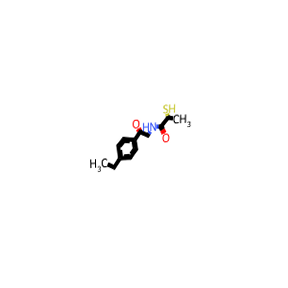 CCc1ccc(C(=O)CNC(=O)C(C)S)cc1